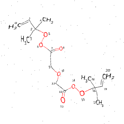 C=CC(C)(C)OOC(=O)COCC(=O)OOC(C)(C)C=C